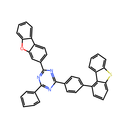 c1ccc(-c2nc(-c3ccc(-c4cccc5sc6ccccc6c45)cc3)nc(-c3ccc4c(c3)oc3ccccc34)n2)cc1